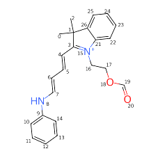 CC1(C)C(/C=C/C=C/Nc2ccccc2)=[N+](CCOC=O)c2ccccc21